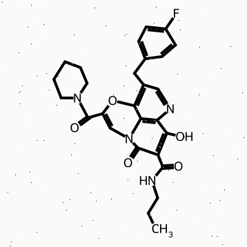 CCCNC(=O)c1c(O)c2ncc(Cc3ccc(F)cc3)c3c2n(c1=O)C=C(C(=O)N1CCCCC1)O3